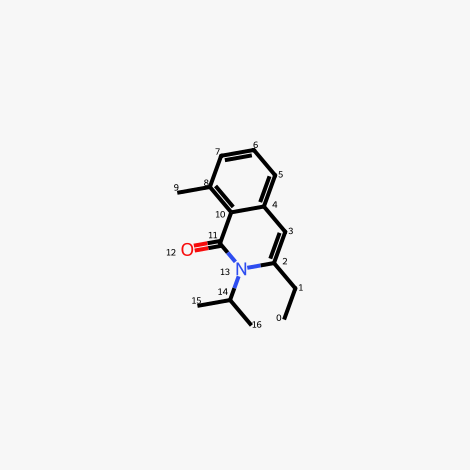 CCc1cc2cccc(C)c2c(=O)n1C(C)C